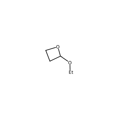 CCO[C]1CCO1